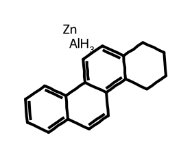 [AlH3].[Zn].c1ccc2c(c1)ccc1c3c(ccc12)CCCC3